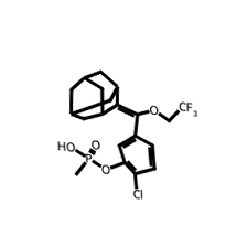 CP(=O)(O)Oc1cc(C(OCC(F)(F)F)=C2C3CC4CC(C3)CC2C4)ccc1Cl